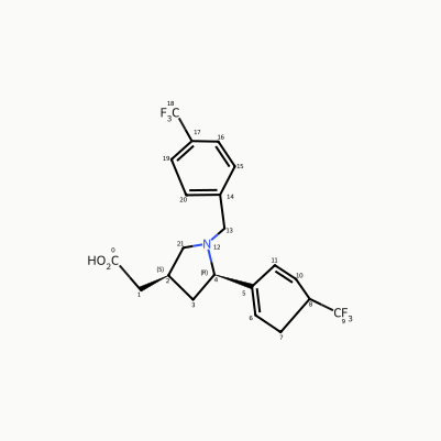 O=C(O)C[C@@H]1C[C@H](C2=CCC(C(F)(F)F)C=C2)N(Cc2ccc(C(F)(F)F)cc2)C1